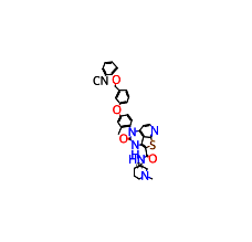 Cc1cc(Oc2cccc(COc3ccccc3C#N)c2)ccc1N1C(=O)Nc2c(C(=O)N[C@@H]3CCCN(C)C3)sc3nccc1c23